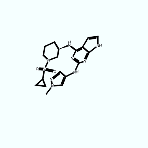 Cn1cc(Nc2nc(N[C@@H]3CCCN(S(=O)(=O)C4CC4)C3)c3[c]c[nH]c3n2)cn1